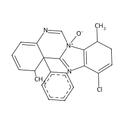 CC1CC=C(Cl)C2=C1[N+]1([O-])C=NC3=CC=CC(C)C3(c3ccccc3)C1=N2